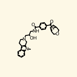 Cn1c2c(c3ccccc31)CCN(CC(O)CNC(=O)c1ccc(C(=O)N3C4CCC3COC4)cc1)C2